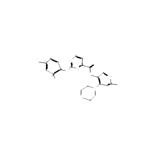 O=C(Nc1cnc(F)cc1N1CCOCC1)c1ccnc(Nc2ccc(Cl)cc2F)n1